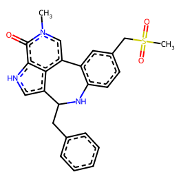 Cn1cc2c3c(c[nH]c3c1=O)C(Cc1ccccc1)Nc1ccc(CS(C)(=O)=O)cc1-2